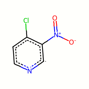 O=[N+]([O-])c1[c]nccc1Cl